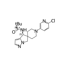 CC(C)(C)[S@+]([O-])N[C@@H]1c2ccnn2CC12CCN(c1ccc(Cl)nc1)CC2